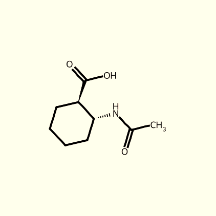 CC(=O)N[C@@H]1CCCC[C@H]1C(=O)O